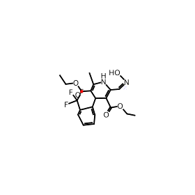 CCOC(=O)C1=C(C)NC(/C=N\O)=C(C(=O)OCC)C1c1ccccc1C(F)(F)F